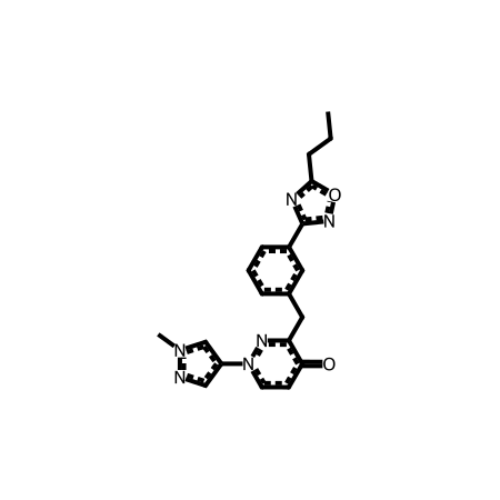 CCCc1nc(-c2cccc(Cc3nn(-c4cnn(C)c4)ccc3=O)c2)no1